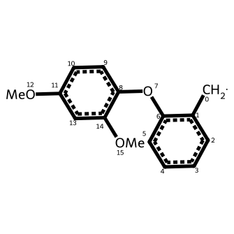 [CH2]c1ccccc1Oc1ccc(OC)cc1OC